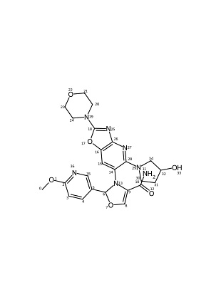 COc1ccc(C2OC=C(C(N)=O)N2c2cc3oc(N4CCOCC4)nc3nc2N2CCC(O)C2)cn1